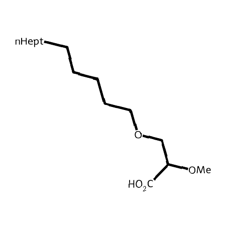 CCCCCCCCCCCCOCC(OC)C(=O)O